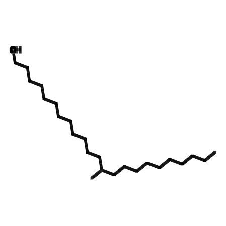 CCCCCCCCCCC(C)CCCCCCCCCCCCO